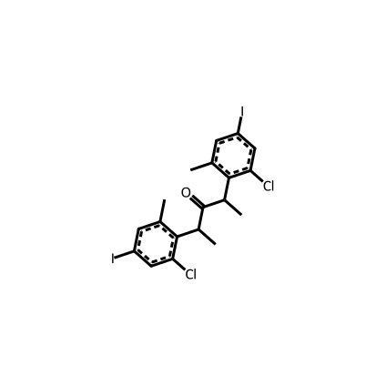 Cc1cc(I)cc(Cl)c1C(C)C(=O)C(C)c1c(C)cc(I)cc1Cl